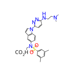 Cc1cc(C)cc(S(=O)(=O)N(CC(=O)O)c2ccc3c(ccn3-c3ccc(NCCN(C)C)nn3)c2)c1